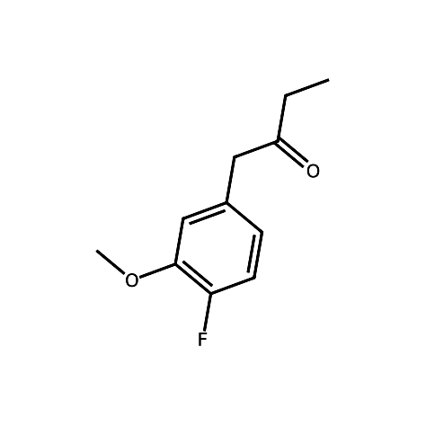 CCC(=O)Cc1ccc(F)c(OC)c1